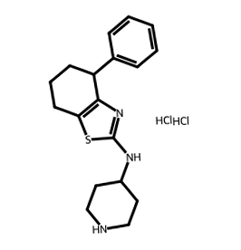 Cl.Cl.c1ccc(C2CCCc3sc(NC4CCNCC4)nc32)cc1